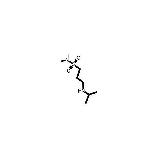 CNS(=O)(=O)CCCNC(C)C